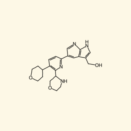 OCc1c[nH]c2ncc(-c3ccc(C4CCOCC4)c(C4COCCN4)n3)cc12